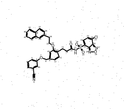 N#Cc1cccc(OCc2ccc(CCC(=O)NS(=O)(=O)c3ccc(Cl)c4nonc34)c(OCCc3ccc4ccccc4c3)c2)c1